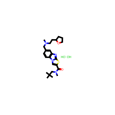 CN(CCC1CCCO1)Cc1ccc2c(c1)nc1sc(C(=O)N(C)CC(C)(C)C)cn12.Cl.Cl